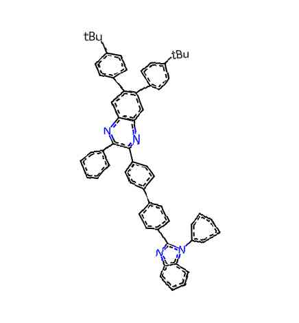 CC(C)(C)c1ccc(-c2cc3nc(-c4ccccc4)c(-c4ccc(-c5ccc(-c6nc7ccccc7n6-c6ccccc6)cc5)cc4)nc3cc2-c2ccc(C(C)(C)C)cc2)cc1